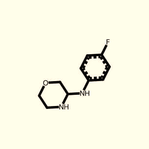 Fc1ccc(NC2COCCN2)cc1